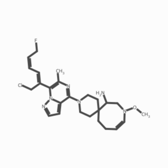 CON1/C=C\CCC2(CCN(c3nc(C)c(/C(=C/C=C\CF)CCl)n4nccc34)CC2)C(N)C1